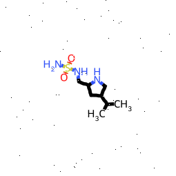 CC(C)C1CNC(CNS(N)(=O)=O)C1